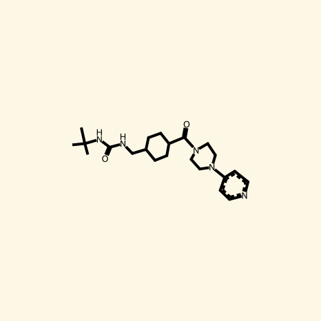 CC(C)(C)NC(=O)NCC1CCC(C(=O)N2CCN(c3ccncc3)CC2)CC1